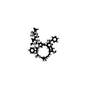 C=C[C@@H]1C[C@]1(NC(=O)[C@@H]1C[C@@H]2CN1C(=O)[C@H](C1CCCCC1)NC(=O)OCC(C)(C)CCCc1cc3c(cc(NC4CCCCC4)nc3cc1OC)O2)C(=O)NS(=O)(=O)C1CC1